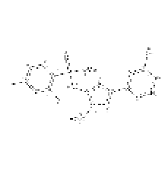 COP(=O)(Nc1nc(-c2cncc(O)c2)sc1C(=O)O)c1ccc(C)cc1C